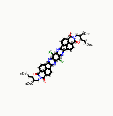 CCCCCCCCCCCCC(CCCCCCCCCC)CN1C(=O)c2ccc3c4c(ccc(c24)C1=O)-c1nc2c(Br)c4nc5c(nc4c(Br)c2nc1-3)-c1ccc2c3c(ccc-5c13)C(=O)N(CC(CCCCCCCCCC)CCCCCCCCCCCC)C2=O